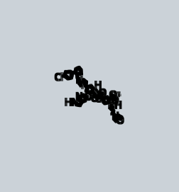 O=C(NS(=O)(=O)c1ccc(NCCCN2CCOCC2)c([N+](=O)[O-])c1)c1ccc(N2CCN(Cc3ccccc3-c3ccc(Cl)cc3)CC2)cc1Oc1cnc2[nH]ccc2c1